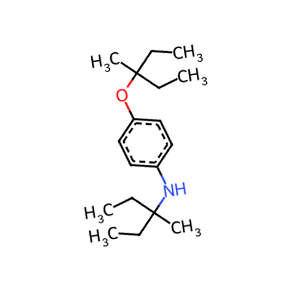 CCC(C)(CC)Nc1ccc(OC(C)(CC)CC)cc1